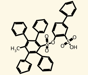 Cc1c(-c2ccccc2)c(-c2ccccc2)c(S(=O)(=O)Oc2ccc(-c3ccccc3)cc2S(=O)(=O)O)c(-c2ccccc2)c1-c1ccccc1